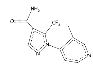 Cc1cnccc1-n1ncc(C(N)=O)c1C(F)(F)F